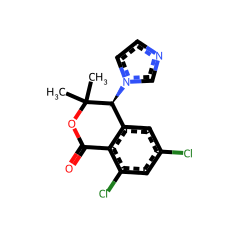 CC1(C)OC(=O)c2c(Cl)cc(Cl)cc2[C@@H]1n1ccnc1